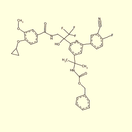 COc1cc(C(=O)NCC(O)(c2cc(C(C)(C)NC(=O)OCc3ccccc3)cc(-c3ccc(F)c(C#N)c3)n2)C(F)(F)F)ccc1OC1CC1